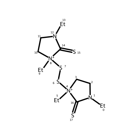 CCN1CC[N+](CC)(SS[N+]2(CC)CCN(CC)C2=S)C1=S